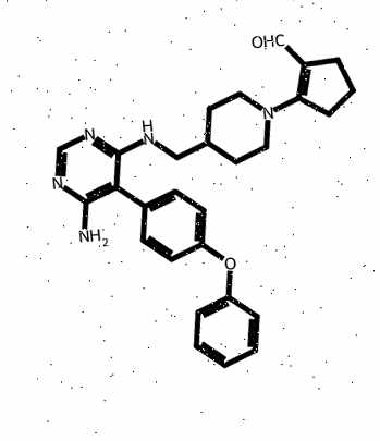 Nc1ncnc(NCC2CCN(C3=C(C=O)CCC3)CC2)c1-c1ccc(Oc2ccccc2)cc1